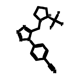 N#Cc1ccc(-n2nnnc2CN2CCC[C@H]2C(F)(F)F)cc1